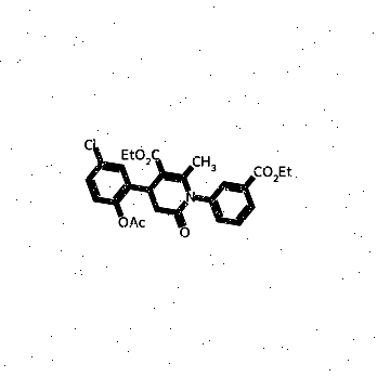 CCOC(=O)C1=C(C)N(c2cccc(C(=O)OCC)c2)C(=O)CC1c1cc(Cl)ccc1OC(C)=O